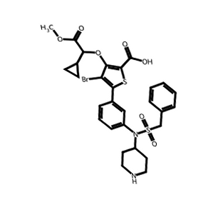 COC(=O)C(Oc1c(C(=O)O)sc(-c2cccc(N(C3CCNCC3)S(=O)(=O)Cc3ccccc3)c2)c1Br)C1CC1